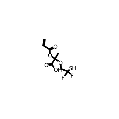 C=CC(=O)OC(C)(OCC(F)(F)S)C(=O)O